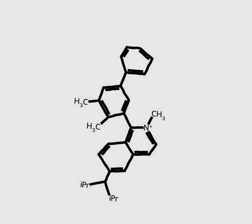 Cc1cc(-c2ccccc2)cc(-c2c3ccc(C(C(C)C)C(C)C)cc3cc[n+]2C)c1C